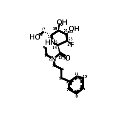 CCN(CCCc1ccccc1)C(=O)[C@H]1N[C@H](CO)[C@@H](O)[C@H](O)[C@H]1F